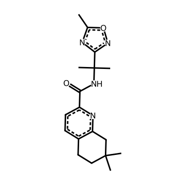 Cc1nc(C(C)(C)NC(=O)c2ccc3c(n2)CC(C)(C)CC3)no1